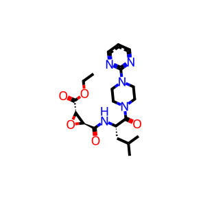 CCOC(=O)[C@H]1O[C@@H]1C(=O)N[C@@H](CC(C)C)C(=O)N1CCN(c2ncccn2)CC1